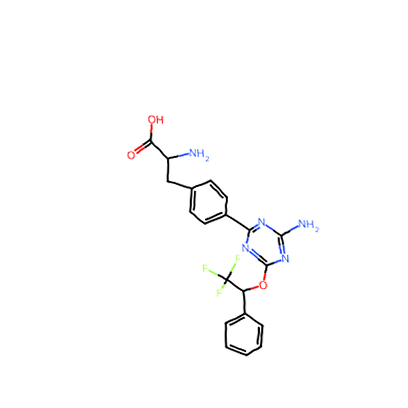 Nc1nc(OC(c2ccccc2)C(F)(F)F)nc(-c2ccc(CC(N)C(=O)O)cc2)n1